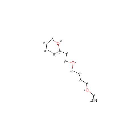 N#CCOCCCCOCCC1CCCCO1